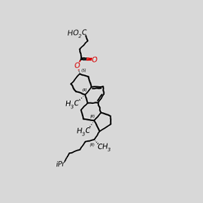 CC(C)CCC[C@@H](C)C1CCC2C3=CC=C4C[C@@H](OC(=O)CCC(=O)O)CC[C@]4(C)C3CC[C@@]21C